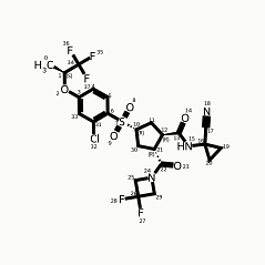 C[C@H](Oc1ccc(S(=O)(=O)[C@@H]2C[C@@H](C(=O)NC3(C#N)CC3)[C@H](C(=O)N3CC(F)(F)C3)C2)c(Cl)c1)C(F)(F)F